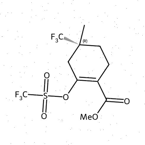 COC(=O)C1=C(OS(=O)(=O)C(F)(F)F)C[C@](C)(C(F)(F)F)CC1